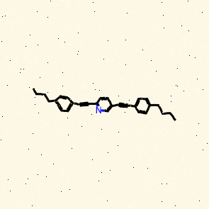 CCCCc1ccc(C#Cc2ccc(C#Cc3ccc(CCCC)cc3)nc2)cc1